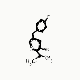 C=C(C)c1ncc(Cc2ccc(F)cc2)cc1CC